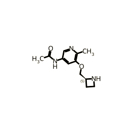 CC(=O)Nc1cnc(C)c(OC[C@@H]2CCN2)c1